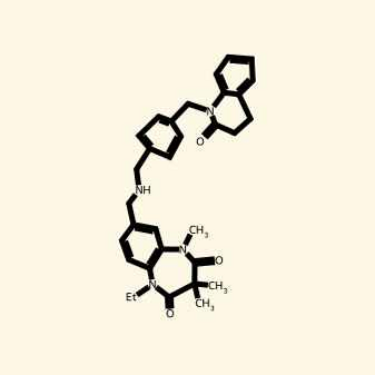 CCN1C(=O)C(C)(C)C(=O)N(C)c2cc(CNCc3ccc(CN4C(=O)CCc5ccccc54)cc3)ccc21